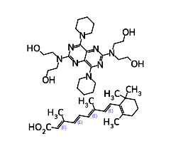 CC1=C(/C=C/C(C)=C/C=C/C(C)=C/C(=O)O)C(C)(C)CCC1.OCCN(CCO)c1nc(N2CCCCC2)c2nc(N(CCO)CCO)nc(N3CCCCC3)c2n1